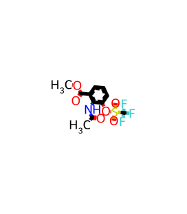 COC(=O)c1cccc(OS(=O)(=O)C(F)(F)F)c1NC(C)=O